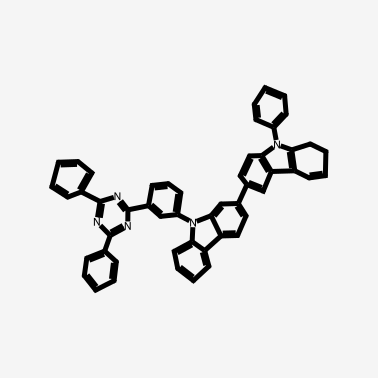 C1=Cc2c(n(-c3ccccc3)c3ccc(-c4ccc5c6ccccc6n(-c6cccc(-c7nc(-c8ccccc8)nc(-c8ccccc8)n7)c6)c5c4)cc23)CC1